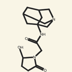 O=C(CN1C(=O)CCC1O)NC12CC3CC(CN(C3)C1)C2